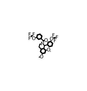 COc1cc2c(c(OC)c1)C(c1cccc(OC(F)(F)F)c1)N(C(=O)c1cccc(OC(F)(F)F)c1)CC2